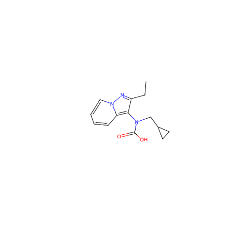 CCc1nn2ccccc2c1N(CC1CC1)C(=O)O